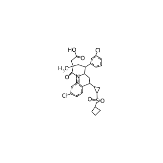 CC1(CC(=O)O)CC(c2cccc(Cl)c2)C(CC(c2ccc(Cl)cc2)C2CC2S(=O)(=O)C2CCC2)NC1=O